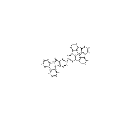 c1ccc([Si](c2ccccc2)(c2ccccc2)c2ccc(-c3ccc4c(c3)N=C3c5ccccc5-c5ccccc5C34)cc2)cc1